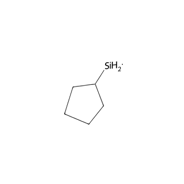 [SiH2]C1CCCC1